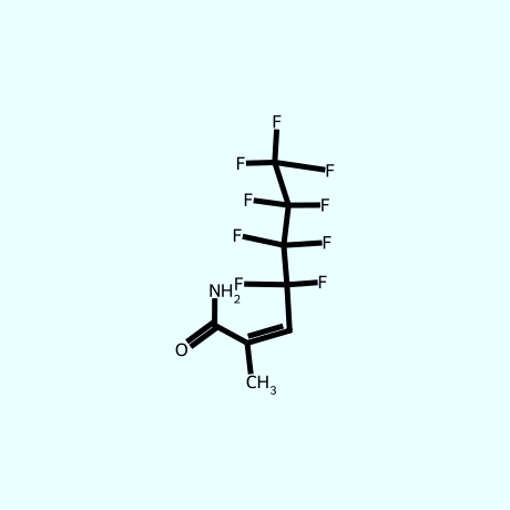 CC(=CC(F)(F)C(F)(F)C(F)(F)C(F)(F)F)C(N)=O